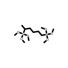 CO[Si](CCCCC(C)[Si](OC)(OC)OC)(OC)OC